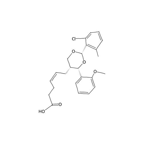 COc1ccccc1[C@H]1O[C@@H](c2c(C)cccc2Cl)OC[C@H]1C/C=C\CCC(=O)O